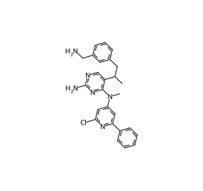 CC(Cc1cccc(CN)c1)c1cnc(N)nc1N(C)c1cc(Cl)nc(-c2ccccc2)c1